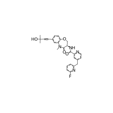 CN1C(=O)[C@H](NC(=O)c2cc(Cc3cccc(F)n3)ccn2)COc2ccc(C#CC(C)(C)O)cc21